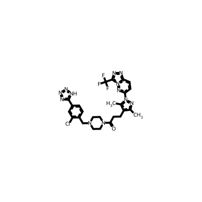 Cc1nn(-c2ccc3nnc(C(F)(F)F)n3n2)c(C)c1CCC(=O)N1CCN(Cc2ccc(-c3nnn[nH]3)cc2Cl)CC1